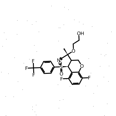 C[C@@](C#N)(OCCO)C1COc2c(F)ccc(F)c2[C@H]1S(=O)(=O)c1ccc(C(F)(F)F)cc1